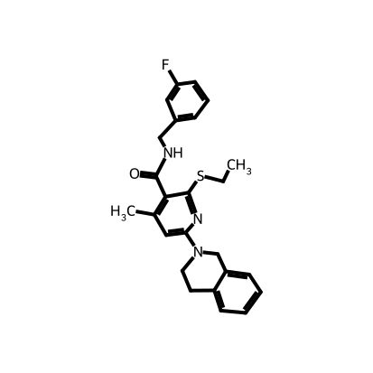 CCSc1nc(N2CCc3ccccc3C2)cc(C)c1C(=O)NCc1cccc(F)c1